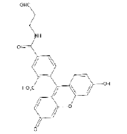 O=CCCNC(=O)c1ccc(-c2c3ccc(=O)cc-3oc3cc(O)ccc23)c(C(=O)O)c1